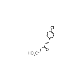 O=C(O)CCC(=O)/C=C/c1ccc(Cl)cc1